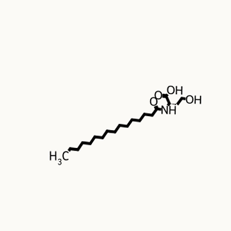 CCCCCCCCCCCCCCCC(=O)N[C@@H](CCO)C(=O)O